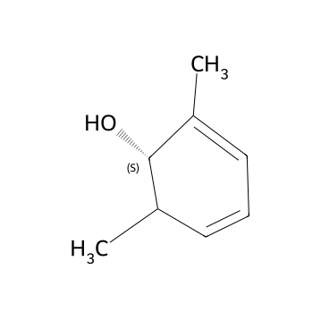 CC1=CC=CC(C)[C@@H]1O